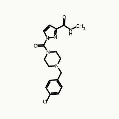 CNC(=O)c1ccn(C(=O)N2CCN(Cc3ccc(Cl)cc3)CC2)n1